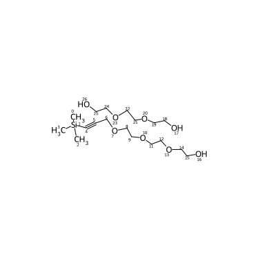 C[Si](C)(C)C#CCOCCOCCOCCO.OCCOCCOCCO